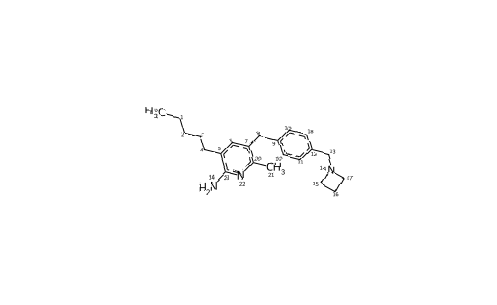 CCCCCc1cc(Cc2ccc(CN3CCC3)cc2)c(C)nc1N